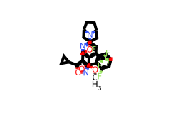 COC(=O)c1cnc(N2C3CCC2CC(OCc2c(-c4c(F)cccc4F)noc2C2CC2)C3)cc1C(F)(F)F